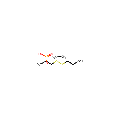 CC(=O)O.O=C(O)CCSSCCC(=O)O.O=[PH](O)O